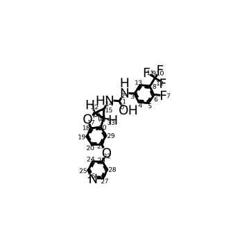 OC(Nc1ccc(F)c(C(F)(F)F)c1)NC1[C@H]2Oc3ccc(Oc4ccncc4)cc3[C@@H]12